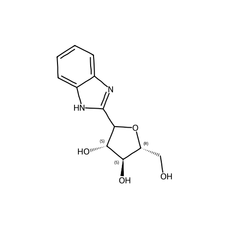 OC[C@H]1OC(c2nc3ccccc3[nH]2)[C@@H](O)[C@@H]1O